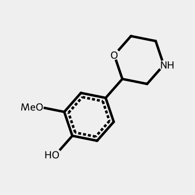 COc1cc(C2CNCCO2)ccc1O